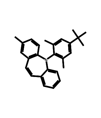 Cc1ccc2c(c1)C=Cc1ccccc1N2c1c(C)cc(C(C)(C)C)cc1C